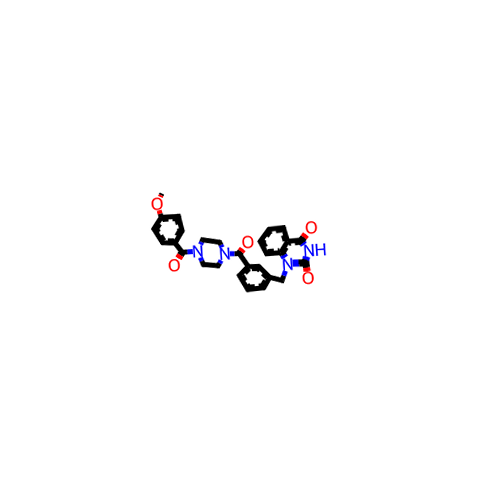 COc1ccc(C(=O)N2CCN(C(=O)c3cccc(Cn4c(=O)[nH]c(=O)c5ccccc54)c3)CC2)cc1